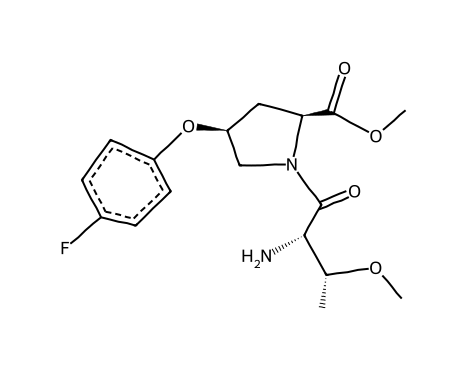 COC(=O)[C@@H]1C[C@H](Oc2ccc(F)cc2)CN1C(=O)[C@@H](N)[C@@H](C)OC